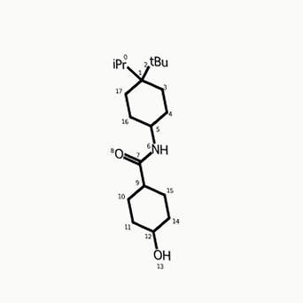 CC(C)C1(C(C)(C)C)CCC(NC(=O)C2CCC(O)CC2)CC1